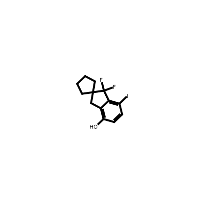 Oc1ccc(I)c2c1CC1(CCCC1)C2(F)F